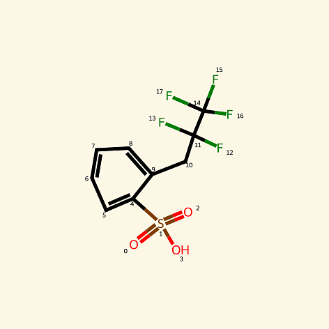 O=S(=O)(O)c1ccccc1CC(F)(F)C(F)(F)F